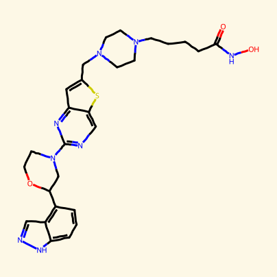 O=C(CCCCN1CCN(Cc2cc3nc(N4CCOC(c5cccc6[nH]ncc56)C4)ncc3s2)CC1)NO